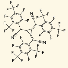 N#C/C(=C1\C(=C(\C#N)c2c(F)c(F)c(C(F)(F)F)c(F)c2C(F)(F)F)C1C(C#N)c1c(F)c(F)c(C(F)(F)F)c(F)c1C(F)(F)F)c1c(F)c(F)c(C(F)(F)F)c(F)c1C(F)(F)F